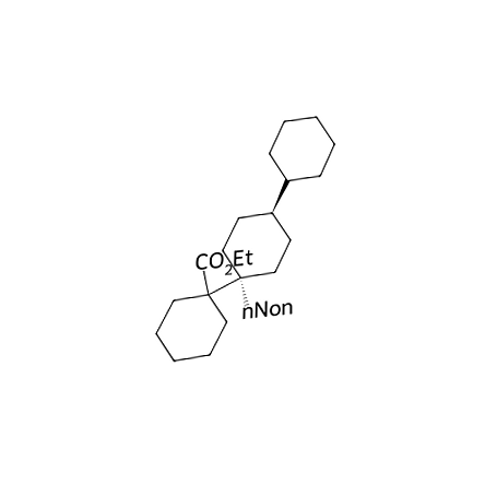 CCCCCCCCC[C@]1(C2(C(=O)OCC)CCCCC2)CC[C@@H](C2CCCCC2)CC1